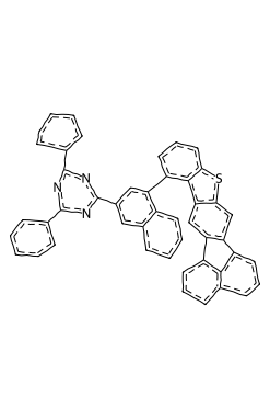 c1ccc(-c2nc(-c3ccccc3)nc(-c3cc(-c4cccc5sc6cc7c(cc6c45)-c4cccc5cccc-7c45)c4ccccc4c3)n2)cc1